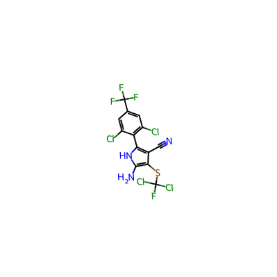 N#Cc1c(-c2c(Cl)cc(C(F)(F)F)cc2Cl)[nH]c(N)c1SC(F)(Cl)Cl